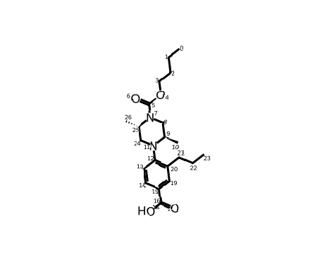 CCCCOC(=O)N1C[C@@H](C)N(c2ccc(C(=O)O)cc2CCC)C[C@@H]1C